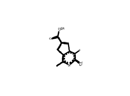 COC(=O)C1Cc2c(C)nc(Cl)c(F)c2C1